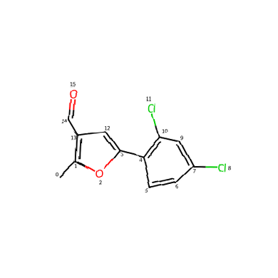 Cc1oc(-c2ccc(Cl)cc2Cl)cc1C=O